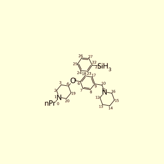 CCCN1CCC(Oc2ccc(CN3CCCCC3)cc2)CC1.[SiH3]c1ccccc1